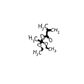 C=C(C)C(=O)OC(C)(OCC)OCC